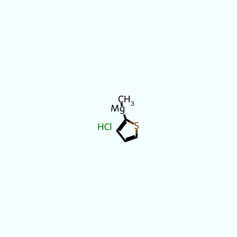 Cl.[CH3][Mg][c]1cccs1